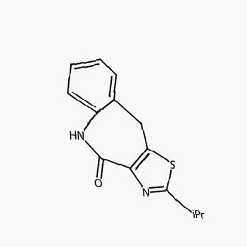 CC(C)c1nc2c(s1)Cc1ccccc1NC2=O